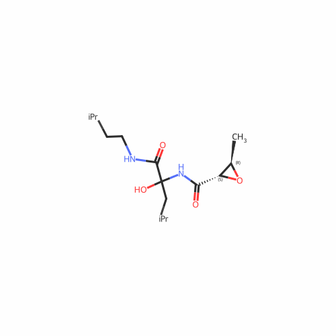 CC(C)CCNC(=O)C(O)(CC(C)C)NC(=O)[C@H]1O[C@@H]1C